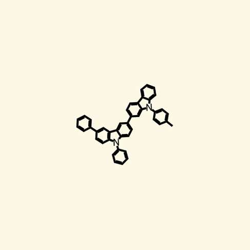 Cc1ccc(-n2c3ccccc3c3ccc(-c4ccc5c(c4)c4cc(-c6ccccc6)ccc4n5-c4ccccc4)cc32)cc1